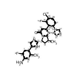 Cc1nc(N)c(F)cc1-c1cnc([C@H]2C[C@H](C)c3nc(-c4c(-n5cnnn5)ccc(Cl)c4F)cc(=O)n32)[nH]1